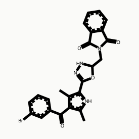 Cc1[nH]c(C2=NNC(CN3C(=O)c4ccccc4C3=O)O2)c(C)c1C(=O)c1cccc(Br)c1